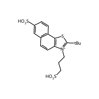 CC(C)(C)c1sc2c3ccc(S(=O)(=O)O)cc3ccc2[n+]1CCCS(=O)(=O)O